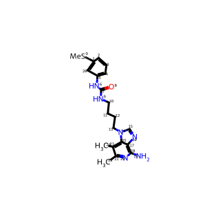 CSc1cccc(NC(=O)NCCCCn2cnc3c(N)nc(C)c(C)c32)c1